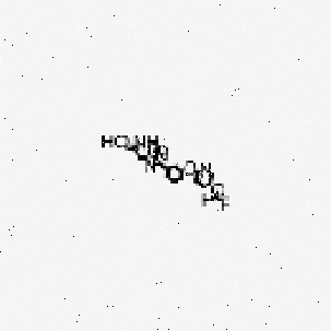 N[C@H](CO)Cc1nc(-c2cccc(Oc3ccc(OC(F)F)cn3)c2)no1